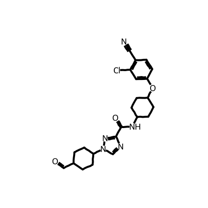 N#Cc1ccc(OC2CCC(NC(=O)c3ncn(C4CCC(C=O)CC4)n3)CC2)cc1Cl